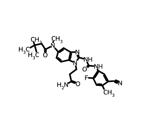 Cc1cc(F)c(NC(=O)Nc2nc3cc(N(C)C(=O)CC(C)(C)C)ccc3n2CCC(N)=O)cc1C#N